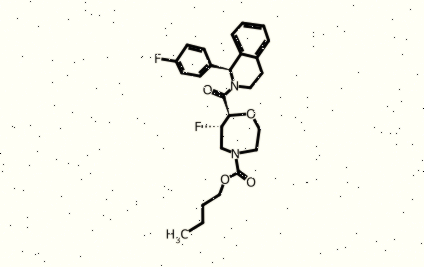 CCCCOC(=O)N1CCO[C@H](C(=O)N2CCc3ccccc3[C@@H]2c2ccc(F)cc2)[C@@H](F)C1